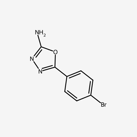 Nc1nnc(-c2ccc(Br)cc2)o1